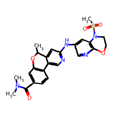 CC1Oc2cc(C(=O)N(C)C)ccc2-c2cnc(Nc3cnc4c(c3)N(S(C)(=O)=O)CCO4)cc21